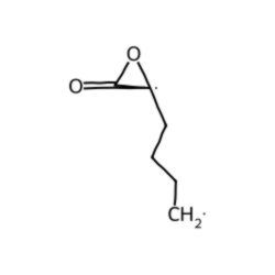 [CH2]CCC[C]1OC1=O